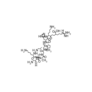 C[C@H](NC(=O)[C@@H](NC(=O)[C@@H](N)CCCCN)[C@@H](O)CN)C(=O)NCC(=O)N[C@H](CCCN)C(=O)N1[C@@H](C)CC[C@H]1C(=O)N[C@@H](Cc1cnc[nH]1)C(=O)N[C@@H](CCCCN)C(=O)CCC(CCCNC(=N)N)C(=O)O